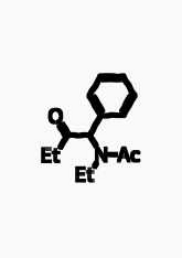 CCC(=O)C(c1ccccc1)N(CC)C(C)=O